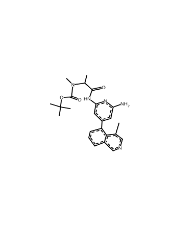 Cc1cncc2cccc(-c3cc(N)nc(NC(=O)C(C)N(C)C(=O)OC(C)(C)C)c3)c12